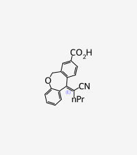 CCC/C(C#N)=C1/c2ccc(C(=O)O)cc2COc2ccccc21